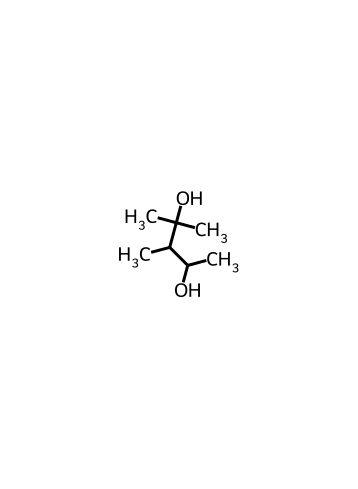 CC(O)C(C)C(C)(C)O